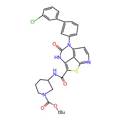 CC(C)(C)OC(=O)N1CCCC(NC(=O)c2sc3nccc4c3c2NC(=O)N4c2cccc(-c3cccc(Cl)c3)c2)C1